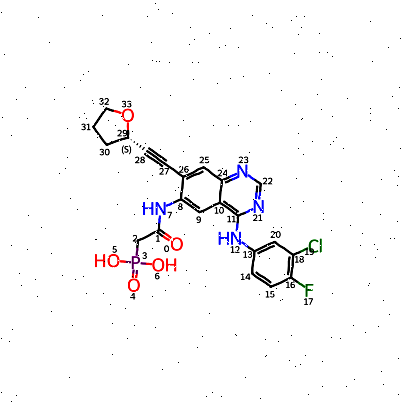 O=C(CP(=O)(O)O)Nc1cc2c(Nc3ccc(F)c(Cl)c3)ncnc2cc1C#C[C@@H]1CCCO1